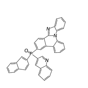 O=P(c1ccc2ccccc2c1)(c1cnc2ccccc2c1)c1ccc2c(c1)c1ccccc1n1c3ccccc3nc21